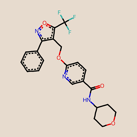 O=C(NC1CCOCC1)c1ccc(OCc2c(-c3ccccc3)noc2C(F)(F)F)nc1